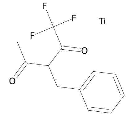 CC(=O)C(Cc1ccccc1)C(=O)C(F)(F)F.[Ti]